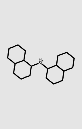 C1CCC2C(C1)CCCC2[SiH2]C1CCCC2CCCCC21